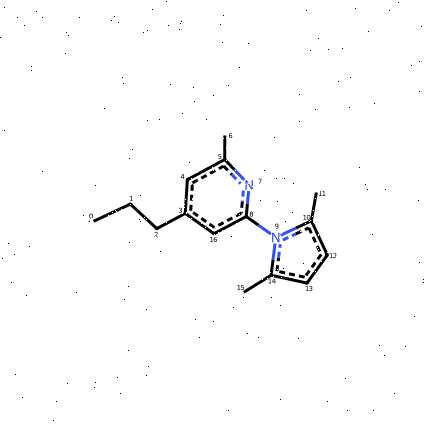 [CH2]CCc1cc(C)nc(-n2c(C)ccc2C)c1